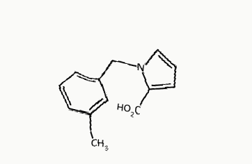 Cc1cccc(Cn2cccc2C(=O)O)c1